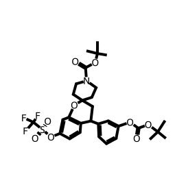 CC(C)(C)OC(=O)Oc1cccc(C2CC3(CCN(C(=O)OC(C)(C)C)CC3)Oc3cc(OS(=O)(=O)C(F)(F)F)ccc32)c1